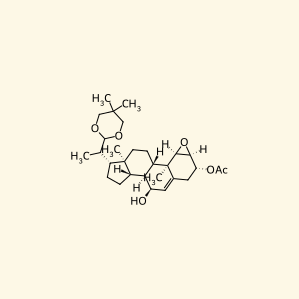 CC(=O)O[C@@H]1CC2=C[C@@H](O)[C@H]3[C@@H]4CC[C@H](C(C)C5OCC(C)(C)CO5)[C@@]4(C)CC[C@@H]3[C@@]2(C)[C@H]2O[C@@H]12